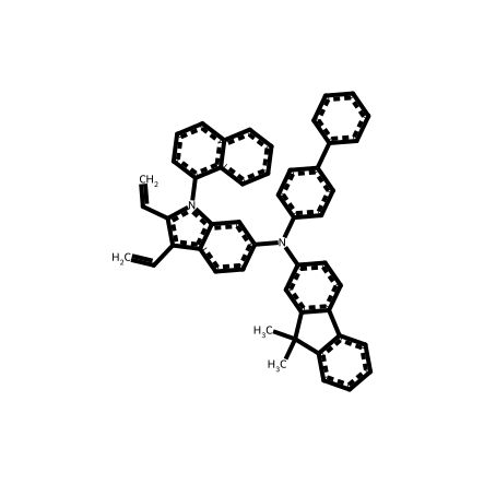 C=Cc1c(C=C)n(-c2cccc3ccccc23)c2cc(N(c3ccc(-c4ccccc4)cc3)c3ccc4c(c3)C(C)(C)c3ccccc3-4)ccc12